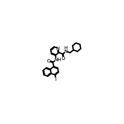 O=C(NCC1CCCCC1)c1ncccc1NC(=O)c1ccc(I)c2ccccc12